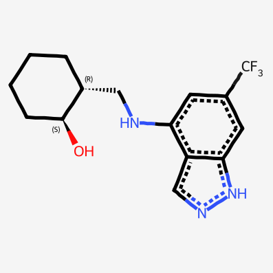 O[C@H]1CCCC[C@@H]1CNc1cc(C(F)(F)F)cc2[nH]ncc12